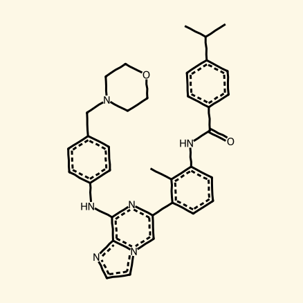 Cc1c(NC(=O)c2ccc(C(C)C)cc2)cccc1-c1cn2ccnc2c(Nc2ccc(CN3CCOCC3)cc2)n1